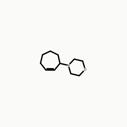 C1=CC(N2CCOCC2)CCCC1